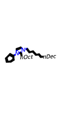 CCCCCCCCCCCCCCCC[n+]1ccn(-c2ccccc2)c1CCCCCCCC